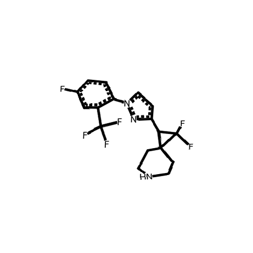 Fc1ccc(-n2ccc(C3C(F)(F)C34CCNCC4)n2)c(C(F)(F)F)c1